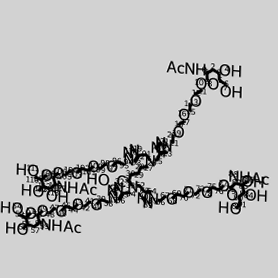 CC(=O)NC1CC(O)C(CO)OC1OCCOCCOCCOCCn1cc(CN(CCCC[C@@H](C(=O)O)N(Cc2cn(CCOCCOCCOCCOC3OC(CO)C(O)CC3NC(C)=O)nn2)Cc2cn(CCOCCOCCOCCOC3OC(CO)C(O)C(O)C3NC(C)=O)nn2)Cc2cn(CCOCCOCCOCCOC3OC(CO)C(O)C(O)C3NC(C)=O)nn2)nn1